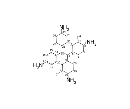 CC1CC(C(C2CCC(N)C(C)C2)C(c2ccc(N)cc2)C2CCC(N)CC2)CCC1N